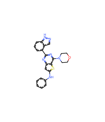 c1ccc(Nc2cc3nc(-c4cccc5[nH]ncc45)nc(N4CCOCC4)c3s2)cc1